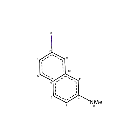 CNc1ccc2ccc(I)cc2c1